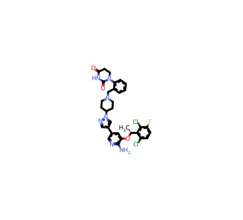 C[C@@H](Oc1cc(-c2cnn(C3CCN(Cc4ccccc4N4CCC(=O)NC4=O)CC3)c2)cnc1N)c1c(Cl)ccc(F)c1Cl